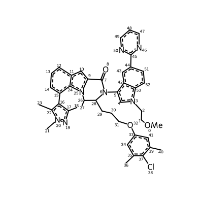 COCCn1cc(N2C(=O)c3cc4cccc(-c5c(C)nn(C)c5C)c4n3C(C)C2CCCOc2cc(C)c(Cl)c(C)c2)c2cc(-c3ncccn3)ccc21